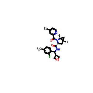 CCc1ccnc(C(=O)N2[C@@H](C(=O)NC(c3ccc(C(F)(F)F)cc3F)C3COC3)C[C@H]3C[C@H]32)c1